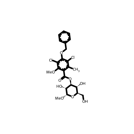 COc1c(Cl)c(OCc2ccccc2)c(Cl)c(C)c1C(=O)O[C@@H]1[C@@H](O)[C@@H](OC)O[C@H](CO)[C@H]1O